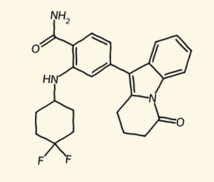 NC(=O)c1ccc(-c2c3n(c4ccccc24)C(=O)CCC3)cc1NC1CCC(F)(F)CC1